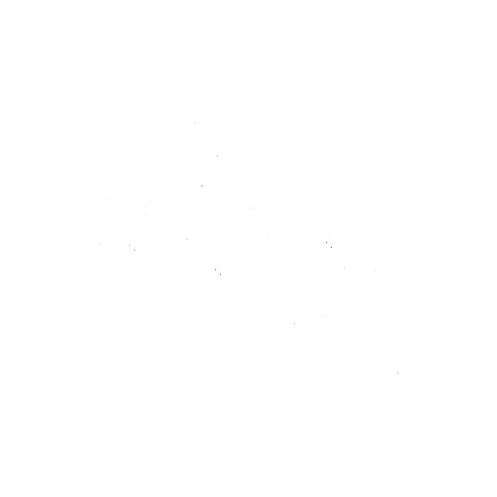 CC(=O)N1Cc2cc(-c3ccccc3S(=O)(=O)N(C)C)cnc2C=Cc2cc(Cl)ccc21